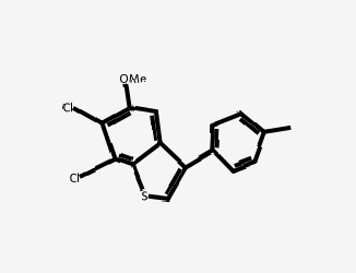 COc1cc2c(-c3ccc(C)cc3)csc2c(Cl)c1Cl